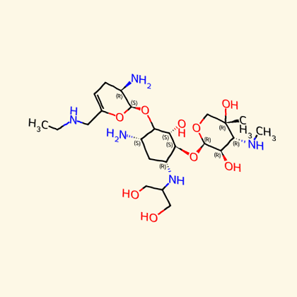 CCNCC1=CC[C@@H](N)[C@@H](OC2[C@@H](N)C[C@@H](NC(CO)CO)[C@H](O[C@H]3OC[C@](C)(O)[C@H](NC)[C@H]3O)[C@H]2O)O1